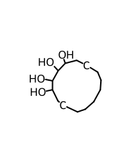 OC1CCCCCCCCCCC(O)C(O)C1O